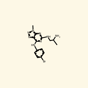 CC(N)CNc1nc(Nc2ccc(Br)cc2)c2nnn(C)c2n1